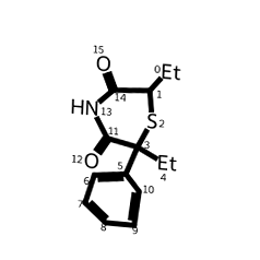 CCC1SC(CC)(c2ccccc2)C(=O)NC1=O